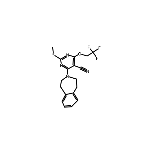 CSc1nc(OCC(F)(F)F)c(C#N)c(N2CCc3ccccc3CC2)n1